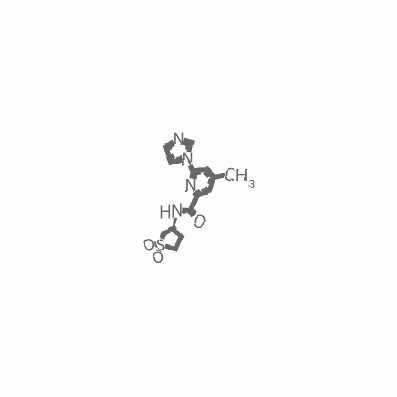 Cc1cc(C(=O)N[C@H]2CCS(=O)(=O)C2)nc(-n2ccnc2)c1